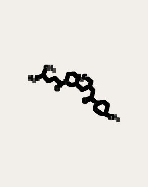 CCC(CC(=O)N1CCC(C)CC1)CC1CCCN(C(=O)CCC(C)C)C1